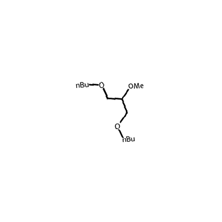 CCCCOCC(COCCCC)OC